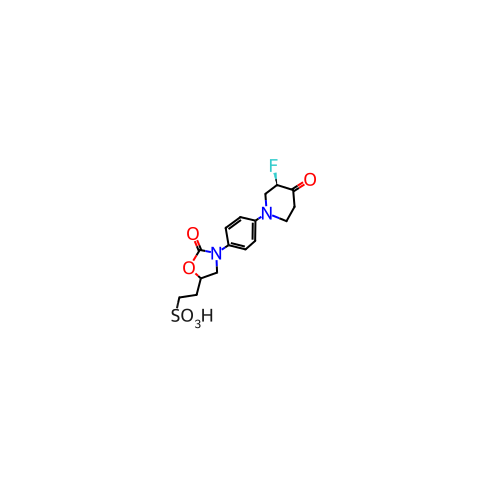 O=C1CCN(c2ccc(N3CC(CCS(=O)(=O)O)OC3=O)cc2)C[C@H]1F